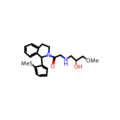 COC[C@@H](O)CNCC(=O)N1CCc2ccccc2C1c1ccccc1SC